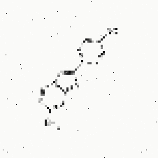 Nc1ccn2cc(-c3ccc(N=O)cc3)nc2c1